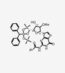 COC1[C@@H](O)[C@@H](CO[Si](O[Si](C)(C)C)(O[Si](C)(C)C)C(c2ccccc2)c2ccccc2)O[C@H]1n1cnc2c(=O)[nH]c(NC(=O)C(C)C)nc21